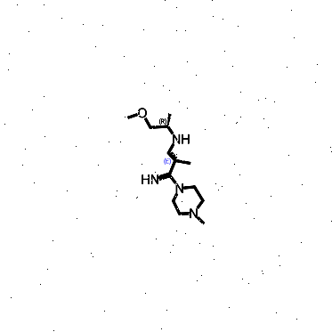 COC[C@@H](C)N/C=C(\C)C(=N)N1CCN(C)CC1